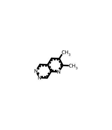 Cc1cc2cnncc2nc1C